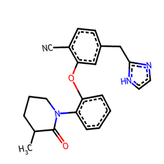 CC1CCCN(c2ccccc2Oc2cc(Cc3ncc[nH]3)ccc2C#N)C1=O